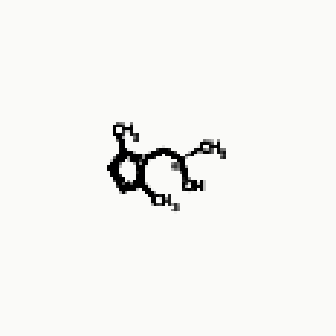 Cc1ccc(C)n1C[C@H](C)O